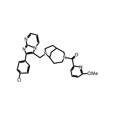 COc1cccc(C(=O)N2CCC3CC(CCN3Cc3c(-c4ccc(Cl)cc4)nc4ncccn34)C2)n1